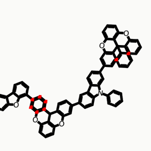 c1ccc(-n2c3ccc(-c4ccc5c(c4)Oc4cccc6c4C5(c4ccccc4)c4ccc(-c5cccc7c5oc5ccccc57)cc4O6)cc3c3ccc(-c4ccc5c(c4)Oc4cccc6c4C5(c4ccccc4)c4ccccc4O6)cc32)cc1